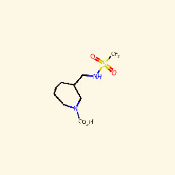 O=C(O)N1CCCC(CNS(=O)(=O)C(F)(F)F)C1